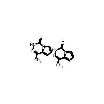 Cc1n[nH]c(=O)n2cccc12.Cc1n[nH]c(=O)n2cccc12